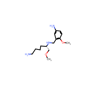 COC[C@H](CCCCN)NCc1cc(N)ccc1OC